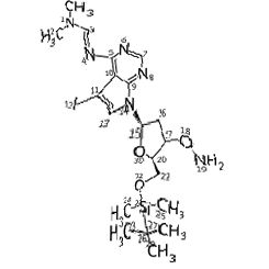 CN(C)/C=N/c1ncnc2c1c(I)cn2[C@H]1CC(ON)[C@@H](CO[Si](C)(C)C(C)(C)C)O1